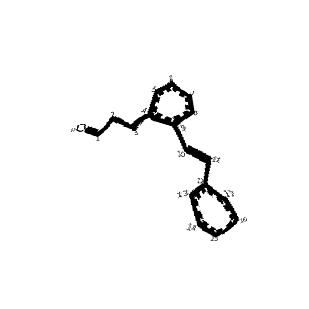 O=CCCc1ccccc1C=Cc1ccccc1